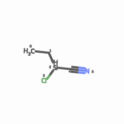 CC[SiH](Cl)C#N